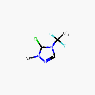 CCN1N=CN(C(F)(F)C(F)(F)F)C1Cl